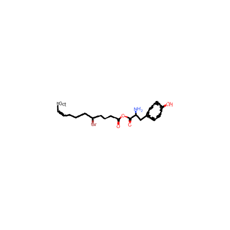 CCCCCCCC/C=C\CCCC(Br)CCCC(=O)OC(=O)C(N)Cc1ccc(O)cc1